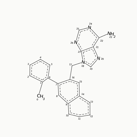 Cc1ccccc1-c1cc2ccccc2cc1Cn1cnc2c(N)ncnc21